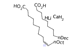 CCCCCCCC/C=C\CCCCCCCC(=O)O.CCCCCCCCCCCCCCCCCC(=O)O.[CaH2].[LiH]